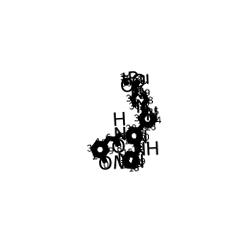 COc1cccc(CC(=O)Nc2cc(Nc3cnccn3)nc(-c3ccnc(N4CCN(C(=O)OC(C)(C)C)CC4)c3)c2)c1